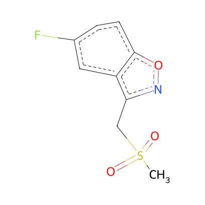 CS(=O)(=O)Cc1noc2ccc(F)cc12